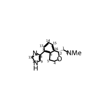 CNC[C@@H]1OCCc2c(-c3c[nH]cn3)cccc21